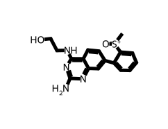 C[S+]([O-])c1ccccc1-c1ccc2c(NCCO)nc(N)nc2c1